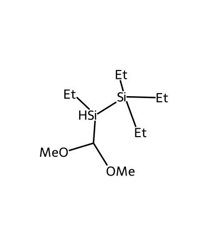 CC[SiH](C(OC)OC)[Si](CC)(CC)CC